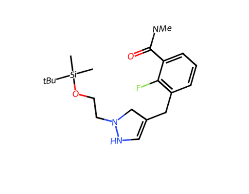 CNC(=O)c1cccc(CC2=CNN(CCO[Si](C)(C)C(C)(C)C)C2)c1F